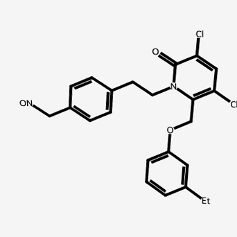 CCc1cccc(OCc2c(Cl)cc(Cl)c(=O)n2CCc2ccc(CN=O)cc2)c1